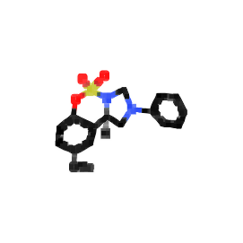 COc1ccc2c(c1)[C@@H]1CN(c3ccccc3)CN1S(=O)(=O)O2